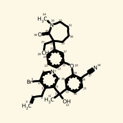 C=CCc1c(Br)cncc1C(C)(O)c1ccc(C#N)c(Oc2cccc(C3(CC)CCCCN(C)C3=O)c2)c1